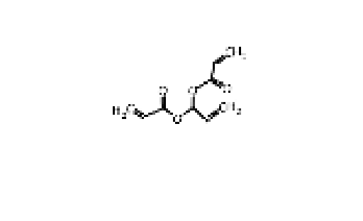 C=C[C](OC(=O)C=C)OC(=O)C=C